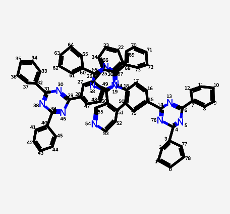 c1ccc(-c2nc(-c3ccccc3)nc(-c3ccc(-n4c5ccccc5c5cc(-c6nc(-c7ccccc7)nc(-c7ccccc7)n6)ccc54)c(-c4ccncc4-c4nc(-c5ccccc5)nc(-c5ccccc5)n4)c3)n2)cc1